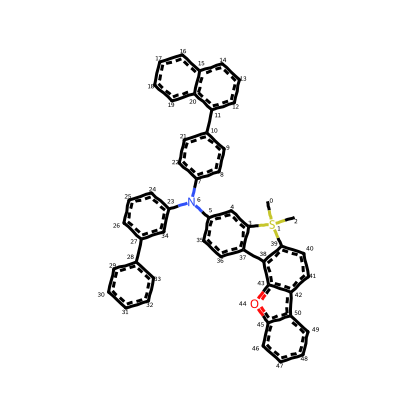 CS1(C)c2cc(N(c3ccc(-c4cccc5ccccc45)cc3)c3cccc(-c4ccccc4)c3)ccc2-c2c1ccc1c2oc2ccccc21